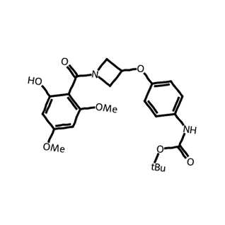 COc1cc(O)c(C(=O)N2CC(Oc3ccc(NC(=O)OC(C)(C)C)cc3)C2)c(OC)c1